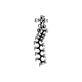 CC[N+](CC)(CC)CC.O=S(=O)([O-])C(F)C(F)(F)C(F)(F)C(F)(F)C(F)C(F)C(F)C(F)C(F)C(F)C(F)C(F)F